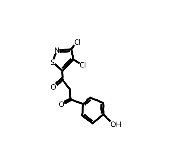 O=C(CC(=O)c1snc(Cl)c1Cl)c1ccc(O)cc1